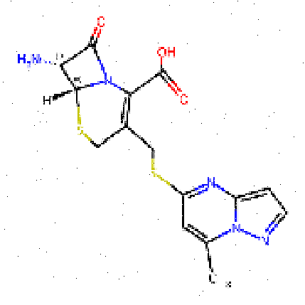 Cc1cc(SCC2=C(C(=O)O)N3C(=O)[C@@H](N)[C@H]3SC2)nc2ccnn12